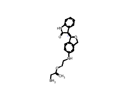 BCC(=C)OCCNc1ccc2c(c1)CO/C2=C1/C(=O)Nc2ccccc21